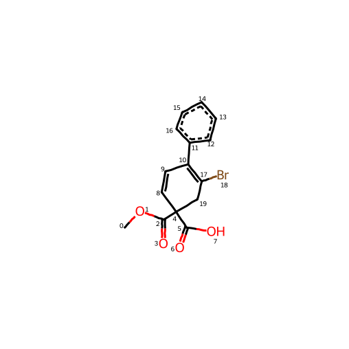 COC(=O)C1(C(=O)O)C=CC(c2ccccc2)=C(Br)C1